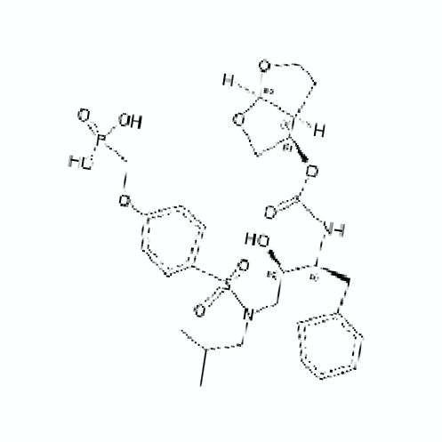 CC(C)CN(C[C@@H](O)[C@H](Cc1ccccc1)NC(=O)O[C@H]1CO[C@H]2OCC[C@H]21)S(=O)(=O)c1ccc(OCP(=O)(O)O)cc1